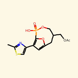 CC(=O)OCC1COP(=O)(O)c2oc(cc2-c2csc(C)n2)C1